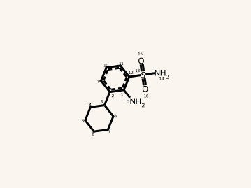 Nc1c(C2CCCCC2)cccc1S(N)(=O)=O